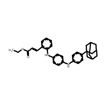 CCOC(=O)/C=C/c1ccccc1Nc1ccc(Nc2ccc(C34CC5CC(CC(C5)C3)C4)cc2)cc1